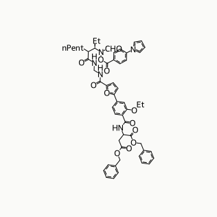 CCCCCC(C(=O)NCNC(=O)c1ccc(-c2ccc(C(=O)NC(CC(=O)OCc3ccccc3)C(=O)OCc3ccccc3)c(OCC)c2)o1)[C@@H](CC)N(C=O)OC(=O)c1ccc(-n2cccc2)cc1